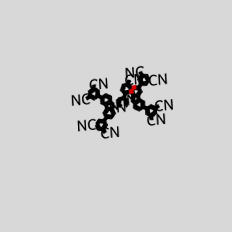 N#Cc1ccc(-c2cc(-n3c4ccc(-c5cc(C#N)cc(C#N)c5)cc4c4cc(-c5cc(C#N)cc(C#N)c5)ccc43)ncc2-n2c3ccc(-c4cc(C#N)cc(C#N)c4)cc3c3cc(-c4cc(C#N)cc(C#N)c4)ccc32)cc1